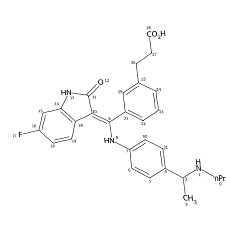 CCCNC(C)c1ccc(NC(=C2C(=O)Nc3cc(F)ccc32)c2cccc(CCC(=O)O)c2)cc1